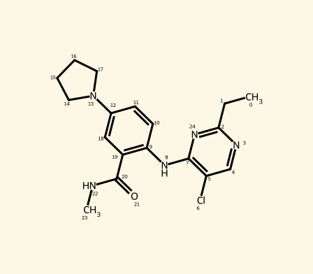 CCc1ncc(Cl)c(Nc2ccc(N3CCCC3)cc2C(=O)NC)n1